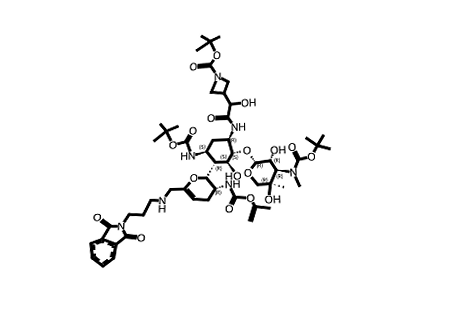 C=C(C)OC(=O)N[C@@H]1CC=C(CNCCCN2C(=O)c3ccccc3C2=O)OC1[C@H]1[C@H](O)[C@@H](O[C@H]2OC[C@](C)(O)[C@H](N(C)C(=O)OC(C)(C)C)[C@H]2O)[C@H](NC(=O)C(O)C2CN(C(=O)OC(C)(C)C)C2)C[C@@H]1NC(=O)OC(C)(C)C